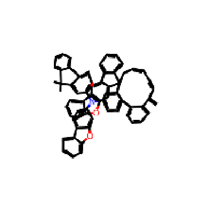 C=C1/C=C\C=C/CC2(c3cc(N(c4ccc5c(c4)C(C)(C)c4ccccc4-5)c4ccc5c(c4)oc4ccccc45)ccc3-c3ccccc31)c1ccccc1-c1cc3c(cc12)oc1ccccc13